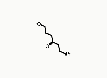 CC(C)CCC(=O)CCC[O]